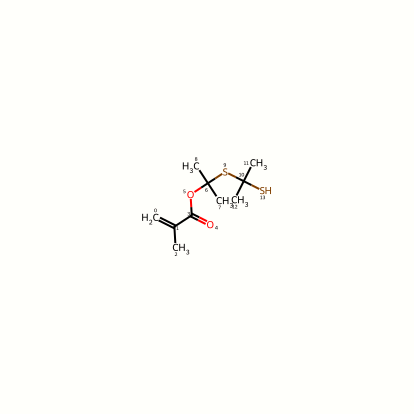 C=C(C)C(=O)OC(C)(C)SC(C)(C)S